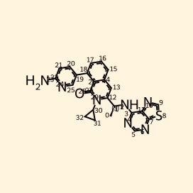 C[C@H](Nc1ncnc2scnc12)c1cc2cccc(-c3ccc(N)nc3)c2c(=O)n1C1CC1